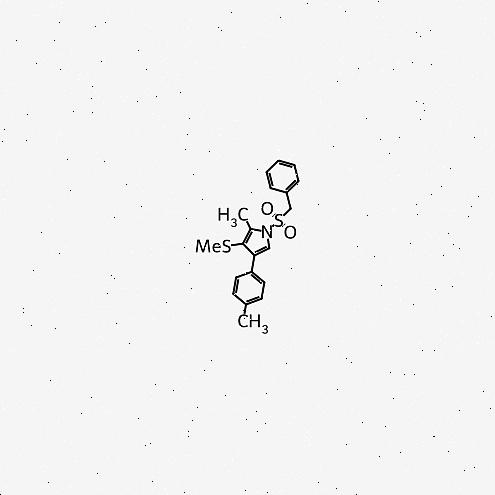 CSc1c(-c2ccc(C)cc2)cn(S(=O)(=O)Cc2ccccc2)c1C